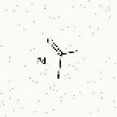 O=C(I)I.[Pd]